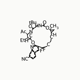 CC[C@@H]1[C@@H]2CN(C(=O)[C@H](C(C)(C)C)NC(=O)O[C@]3(C)C[C@H]3CCCCC(F)(F)c3cc4ccc(C#N)cc4nc3O2)[C@@H]1C(C)=O